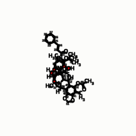 COc1c(C)cc2c(c1O)[C@H]1C3[C@@H]4SC[C@H](NC(=O)C(NC(=O)/C=C/c5ccccc5)C(C)C)C(=O)OC[C@@H](c5c6c(c(C)c(OC(C)=O)c54)OCO6)N3[C@@H](O)[C@@H](C2)N1C